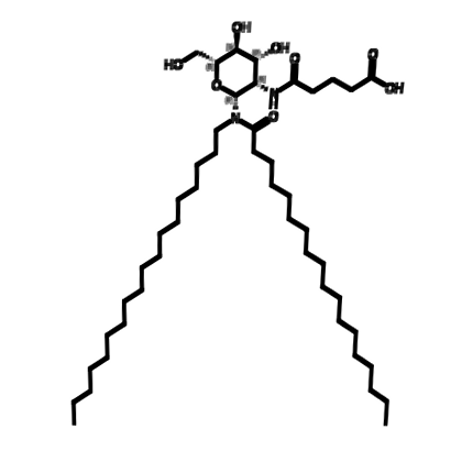 CCCCCCCCCCCCCCCCCCN(C(=O)CCCCCCCCCCCCCCCCC)[C@@H]1O[C@H](CO)[C@@H](O)[C@H](O)[C@@H]1NC(=O)CCCC(=O)O